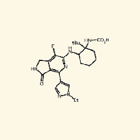 CCn1cc(-c2nc(NC3CCCCC3(NC(=O)O)C(C)(C)C)c(F)c3c2C(=O)NC3)cn1